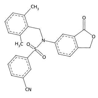 Cc1cccc(C)c1CN(c1ccc2c(c1)C(=O)OC2)S(=O)(=O)c1cccc(C#N)c1